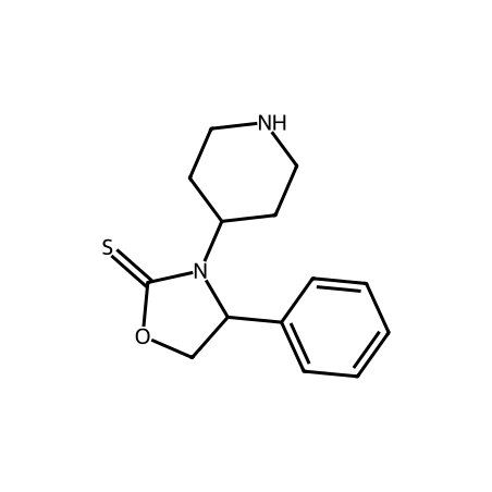 S=C1OCC(c2ccccc2)N1C1CCNCC1